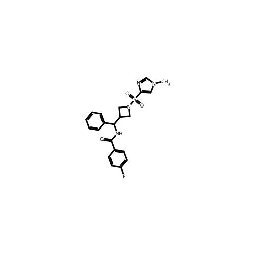 Cn1cnc(S(=O)(=O)N2CC(C(NC(=O)c3ccc(F)cc3)c3ccccc3)C2)c1